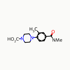 CNC(=O)c1ccc(N2CCN(C(=O)O)CC2)c(C)c1